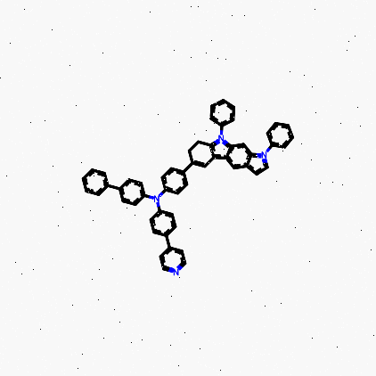 C1=C(c2ccc(N(c3ccc(-c4ccccc4)cc3)c3ccc(-c4ccncc4)cc3)cc2)CCc2c1c1cc3ccn(-c4ccccc4)c3cc1n2-c1ccccc1